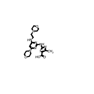 Cc1nc(Nc2nc(NCCN3CCOCC3)cc(N3CCOCC3)n2)sc1C(=O)O